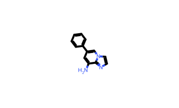 Nc1cc(-c2ccccc2)cn2ccnc12